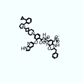 O=C(NS(=O)(=O)c1cc([N+](=O)[O-])c2c(n1)OCC(Cc1ccccc1)N2)c1ccc(N2CCC3(CC2)CC(N2CCCC2c2ccccc2C2CC2)C3)cc1Oc1cnc2[nH]ccc2c1